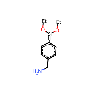 CCO[SiH](OCC)c1ccc(CN)cc1